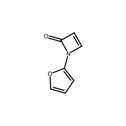 O=C1C=CN1c1ccco1